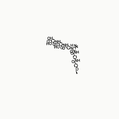 C#CCOc1ccc(C(=O)Nc2ccc(C(=O)N[C@@H](CC3(C)N=N3)C(=O)Nc3ccc(C(=O)Nc4ccc(C(=O)Nc5ccc(C(=O)O)c(O)c5OC)c(O)c4OC)cc3)cc2)cc1